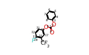 O=C(Oc1ccccc1)Oc1ccc(F)c(C(F)(F)F)c1